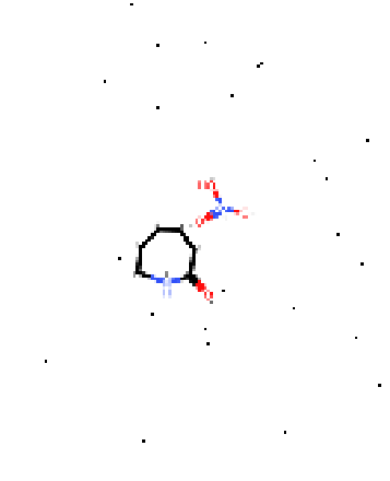 O=C1CCCCCN1.O=[N+]([O-])O